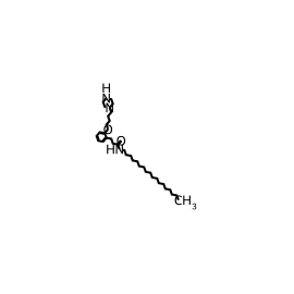 CCCCCCCCCCCCCCCCCCNC(=O)CCc1ccccc1OCCCCN1CCNCC1